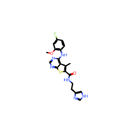 COc1cc(F)ccc1Nc1ncnc2sc(C(=O)NCCc3c[nH]cn3)c(C)c12